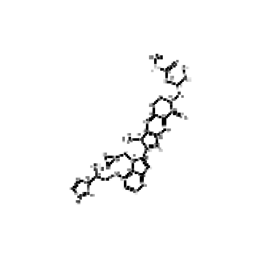 C[C@@H](COc1cccc2cc(-c3nc4cc5c(cc4n3C)CCN(C[C@@H](CF)NC(=O)OC(C)(C)C)C5=O)n(CC3CC3)c12)n1ccnc1